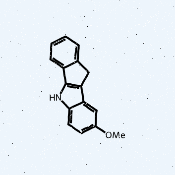 COc1ccc2[nH]c3c(c2c1)Cc1ccccc1-3